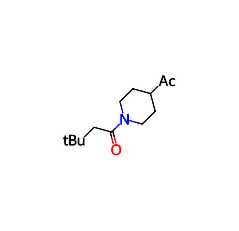 CC(=O)C1CCN(C(=O)CC(C)(C)C)CC1